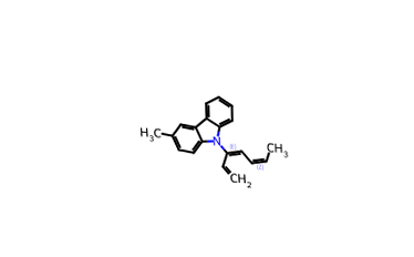 C=C/C(=C\C=C/C)n1c2ccccc2c2cc(C)ccc21